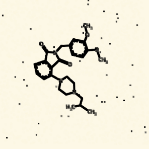 COc1ccc(CN2C(=O)c3cccc(N4CCN(CC(C)C)CC4)c3C2=O)cc1OC